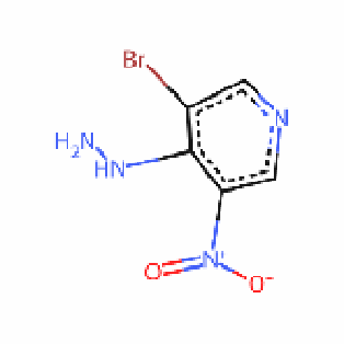 NNc1c(Br)cncc1[N+](=O)[O-]